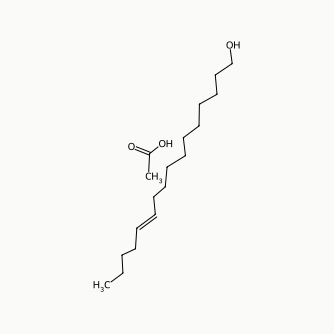 CC(=O)O.CCCC/C=C/CCCCCCCCCCO